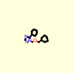 c1ccc(COCn2ncnc2-c2ccccc2)cc1